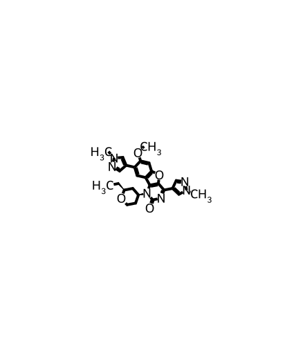 CC[C@H]1C[C@@H](n2c(=O)nc(-c3cnn(C)c3)c3oc4cc(OC)c(-c5cnn(C)c5)cc4c32)CCO1